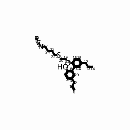 C=CCc1ccc(O)c(-c2cc(CC=C)ccc2OCCSCCCCN=C=S)c1